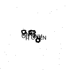 N#Cc1ccccc1NC(=O)c1ccc2ccc(N[C@@H]3CCCC[C@@H]3O)nn12